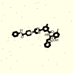 Cc1cc(C(=O)NC(c2cc3ccccc3[nH]2)c2cc(F)ccc2O)cc(-c2ncc(N3CCC(C(=O)Nc4ccccc4)CC3)cn2)c1